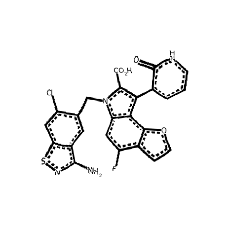 Nc1nsc2cc(Cl)c(Cn3c(C(=O)O)c(-c4ccc[nH]c4=O)c4c5occc5c(F)cc43)cc12